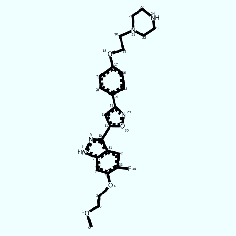 COCCOc1cc2[nH]nc(-c3cc(-c4ccc(OCCN5CCNCC5)cc4)no3)c2cc1F